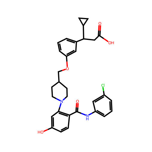 O=C(O)CC(c1cccc(OCC2CCN(c3cc(O)ccc3C(=O)Nc3cccc(Cl)c3)CC2)c1)C1CC1